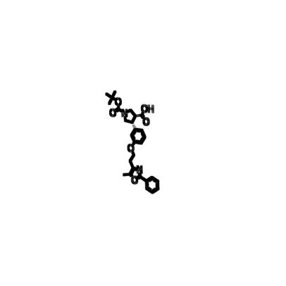 Cc1oc(-c2ccccc2)nc1CCOc1cccc([C@@H]2CN(C(=O)OC(C)(C)C)C[C@H]2C(=O)O)c1